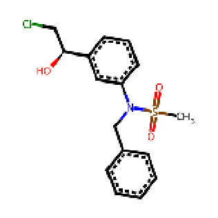 CS(=O)(=O)N(Cc1ccccc1)c1cccc([C@@H](O)CCl)c1